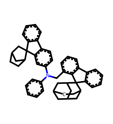 c1ccc(N(Cc2cccc3c2C2(c4ccccc4-3)C3CCC4CC(C3)CC2C4)c2ccc3c(c2)C2(CC4CCC2C4)c2ccccc2-3)cc1